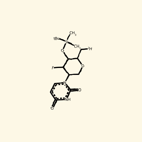 [2H]CC1OCC(n2ccc(=O)[nH]c2=O)C(F)C1O[Si](C)(C)C(C)(C)C